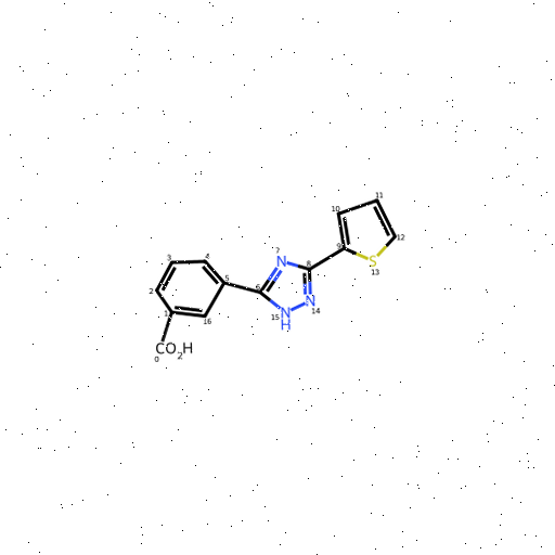 O=C(O)c1cccc(-c2nc(-c3cccs3)n[nH]2)c1